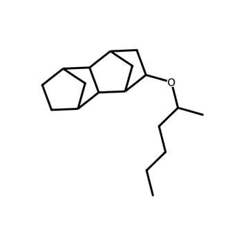 CCCCC(C)OC1CC2CC1C1C3CCC(C3)C21